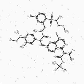 COC[C@H](C)S(=O)(=O)c1ccc(N)cc1CN(C)C(=O)C(Nc1ccc2c(N(C(=O)O)C(=O)OC(C)(C)C)ncc(F)c2c1)c1ccc([C@@H](C)CO)c(C)c1